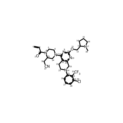 C=CC(=O)N1CCN(c2nc(OCC3CCCN3C)nc3c2CCN(c2cccc(Cl)c2C(F)(F)F)C3)CC1CC#N